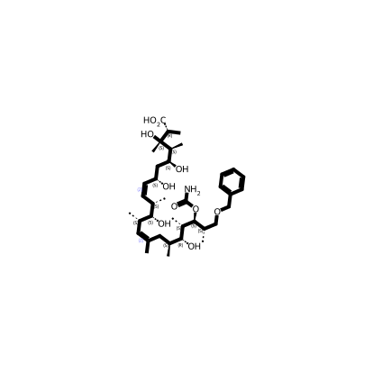 C/C(=C/[C@H](C)[C@@H](O)[C@@H](C)/C=C\[C@@H](O)C[C@H](O)[C@H](C)[C@](C)(O)[C@@H](C)C(=O)O)C[C@H](C)[C@@H](O)[C@H](C)[C@@H](OC(N)=O)[C@@H](C)COCc1ccccc1